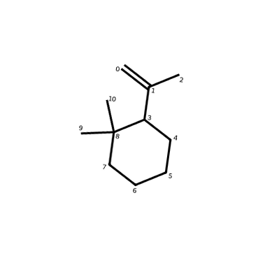 C=C(C)C1CCCCC1(C)C